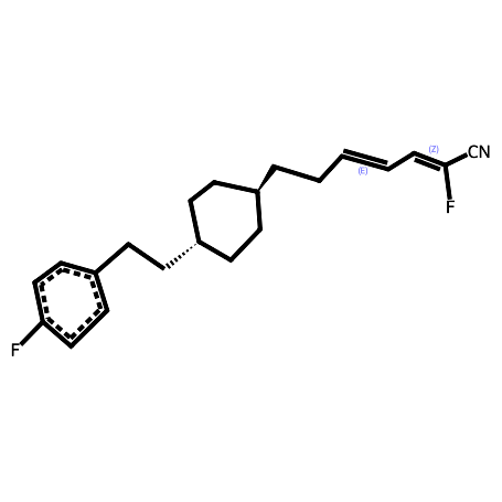 N#C/C(F)=C/C=C/CC[C@H]1CC[C@H](CCc2ccc(F)cc2)CC1